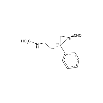 O=C[C@@H]1C[C@]1(CCNC(=O)O)c1ccccc1